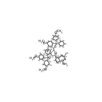 COc1ccc(C(OC[C@H]2O[C@@H](n3cnc4c(N)nc(I)nc43)[C@H](OC(c3ccccc3)(c3ccc(OC)cc3)c3ccc(OC)cc3)[C@@H]2F)(c2ccccc2)c2ccc(OC)cc2)cc1